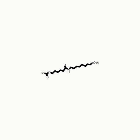 CCCCCCCCCCCCCCCCCCNC(=O)CCCCCOC(=O)CCC